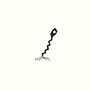 CN(C)CCCCCCCCC1CC2C=CC1C2